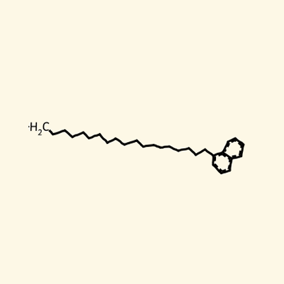 [CH2]CCCCCCCCCCCCCCCCCCc1cccc2ccccc12